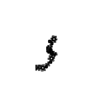 O=C(OCCC(F)(F)C(F)(F)S(=O)(=O)ON=C(c1ccc(OCCCOc2ccc(CC(F)(F)F)cc2)cc1)C(F)(F)F)c1ccccc1